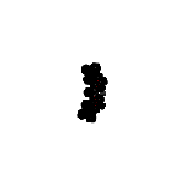 CC1(C)c2cc3c(cc2-c2cc4c(cc21)-c1ccccc1C41c2ccccc2-c2ccccc21)N(c1c(-c2ccccc2)cccc1-c1ccccc1)c1cc2c(cc1O3)C(C)(C)c1cc3c(cc1-2)C1(c2ccccc2-c2ccccc21)c1ccccc1-3